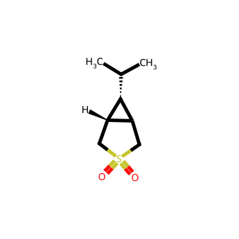 CC(C)[C@@H]1C2CS(=O)(=O)C[C@@H]21